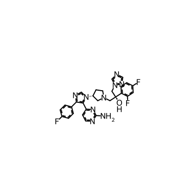 Nc1nccc(-c2c(-c3ccc(F)cc3)ncn2[C@@H]2CCN(C[C@](O)(Cn3cncn3)c3ccc(F)cc3F)C2)n1